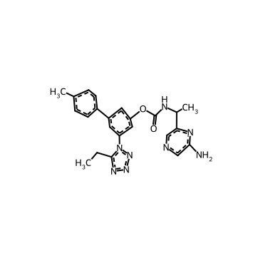 CCc1nnnn1-c1cc(OC(=O)NC(C)c2cncc(N)n2)cc(-c2ccc(C)cc2)c1